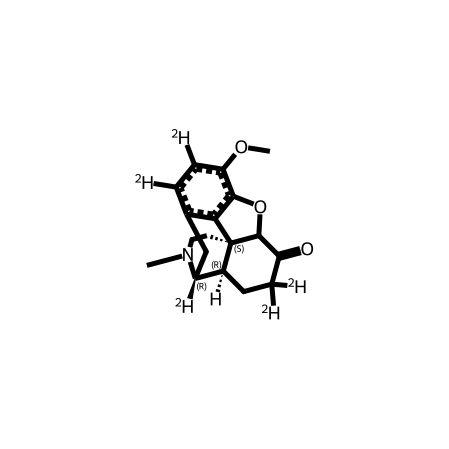 [2H]c1c([2H])c(OC)c2c3c1C[C@]1([2H])[C@@H]4CC([2H])([2H])C(=O)C(O2)[C@]34CCN1C